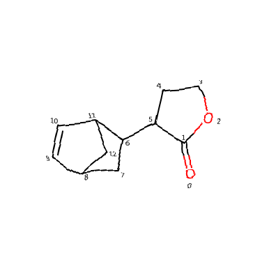 O=C1OCCC1C1CC2C=CC1C2